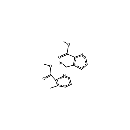 COC(=O)c1ncccc1C.COC(=O)c1ncccc1CBr